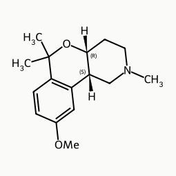 COc1ccc2c(c1)[C@H]1CN(C)CC[C@H]1OC2(C)C